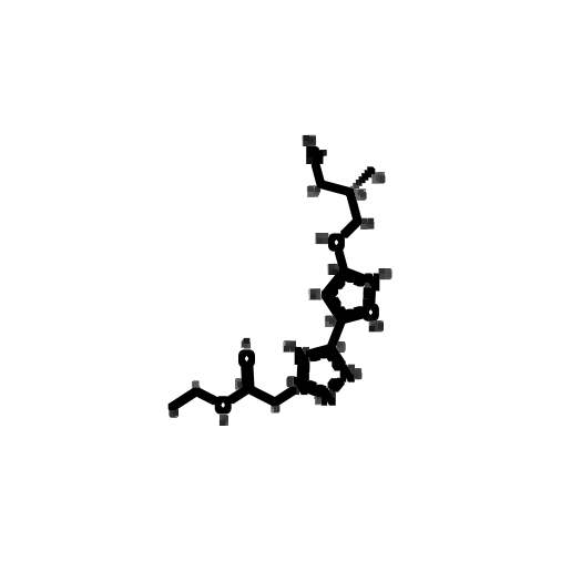 CCOC(=O)Cn1nnc(-c2cc(OC[C@@H](C)CBr)no2)n1